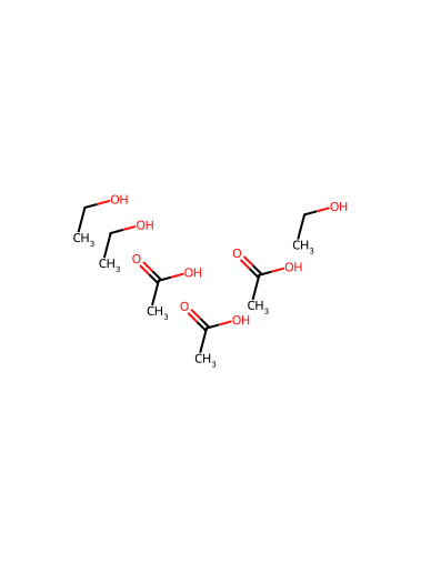 CC(=O)O.CC(=O)O.CC(=O)O.CCO.CCO.CCO